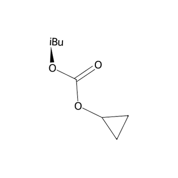 C[CH][C@H](C)OC(=O)OC1CC1